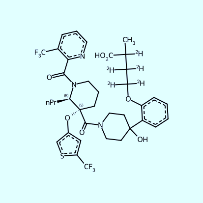 [2H]C([2H])(Oc1ccccc1C1(O)CCN(C(=O)[C@]2(Oc3csc(C(F)(F)F)c3)CCCN(C(=O)c3ncccc3C(F)(F)F)[C@@H]2CCC)CC1)C([2H])([2H])C([2H])(C)C(=O)O